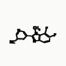 Cn1c(-c2cncc(C#N)c2)nc2ccc(F)c(F)c21